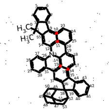 CC1(C)c2ccccc2-c2ccc(N(c3ccccc3-c3ccccc3)c3ccccc3-c3ccc4c(c3)C3(c5ccccc5-4)C4CC5CC(C4)CC3C5)cc21